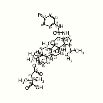 C=C(C)[C@@H]1CC[C@]2(NC(=O)Nc3ccc(F)cc3)CC[C@]3(C)[C@H](CC[C@@H]4[C@@]5(C)CC[C@H](OC(=O)CC(C)(C)C(=O)O)C(C)(C)[C@@H]5CC[C@]43C)[C@@H]12